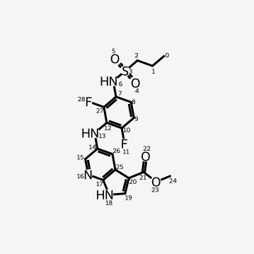 CCCS(=O)(=O)Nc1ccc(F)c(Nc2cnc3[nH]cc(C(=O)OC)c3c2)c1F